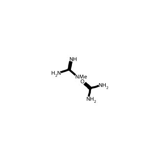 CNC(=N)N.NC(N)=O